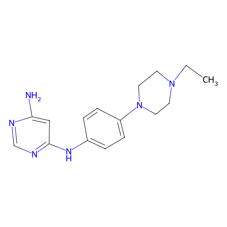 CCN1CCN(c2ccc(Nc3cc(N)ncn3)cc2)CC1